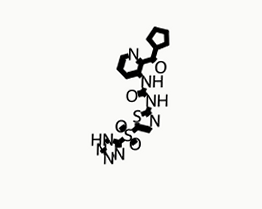 O=C(Nc1ncc(S(=O)(=O)c2nnn[nH]2)s1)Nc1cccnc1C(=O)C1CCCC1